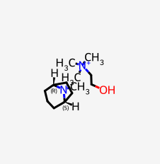 CN1[C@@H]2CCC[C@H]1CC2.C[N+](C)(C)CCO